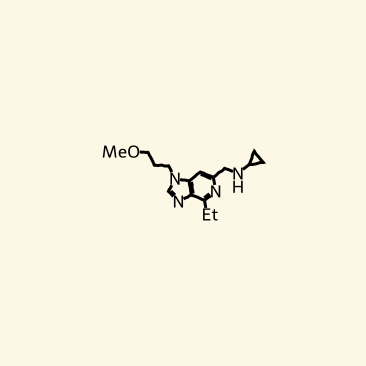 CCc1nc(CNC2CC2)cc2c1ncn2CCCOC